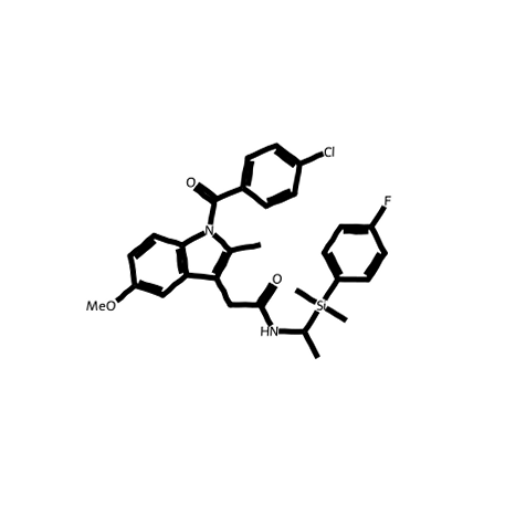 COc1ccc2c(c1)c(CC(=O)NC(C)[Si](C)(C)c1ccc(F)cc1)c(C)n2C(=O)c1ccc(Cl)cc1